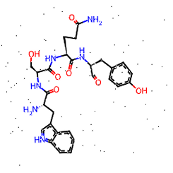 NC(=O)CC[C@H](NC(=O)[C@H](CO)NC(=O)[C@@H](N)Cc1c[nH]c2ccccc12)C(=O)N[C@H]([C]=O)Cc1ccc(O)cc1